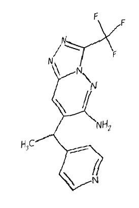 CC(c1ccncc1)c1cc2nnc(C(F)(F)F)n2nc1N